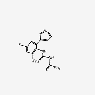 CC(C)c1cc(F)cc(-c2cccnc2)c1NC(=S)NC(N)=S